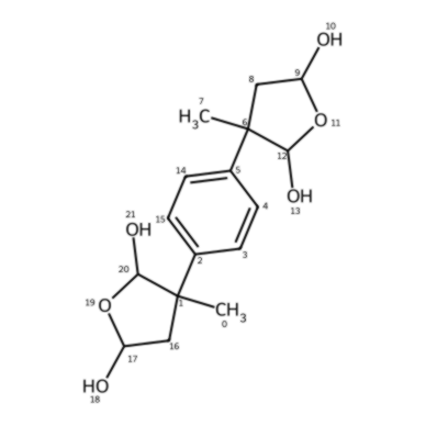 CC1(c2ccc(C3(C)CC(O)OC3O)cc2)CC(O)OC1O